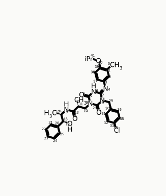 Cc1cc(/N=c2\[nH]c(=O)n(C[C@@H](C)C(=O)N[C@H](C)[C@@H](O)c3ccccc3)c(=O)n2Cc2ccc(Cl)cc2)ccc1OC(C)C